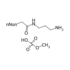 CCCCCCCCCCC(=O)NCCCN.COS(=O)(=O)O